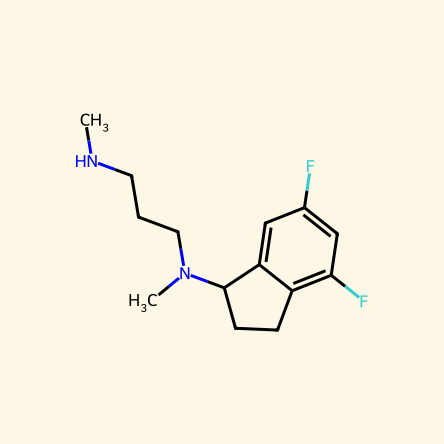 CNCCCN(C)C1CCc2c(F)cc(F)cc21